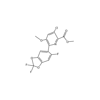 COC(=O)c1nc(-c2cc3c(cc2F)OC(F)(F)O3)c(OC)cc1Cl